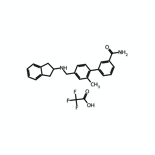 Cc1cc(CNC2Cc3ccccc3C2)ccc1-c1cccc(C(N)=O)c1.O=C(O)C(F)(F)F